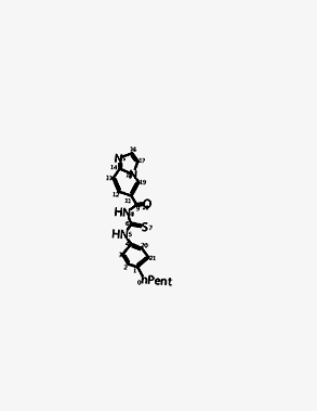 CCCCCc1ccc(NC(=S)NC(=O)c2ccc3nccn3c2)cc1